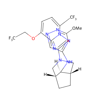 COc1cc(N2C[C@H]3CC[C@@H](C2)[C@@H]3Nc2nc3c(OCC(F)(F)F)ccc(C(F)(F)F)n3n2)cnn1